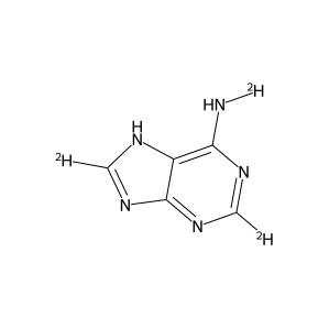 [2H]Nc1nc([2H])nc2nc([2H])[nH]c12